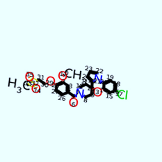 COc1cc(C(=O)N2CCC3(CC2)Oc2cc(Cl)ccc2-n2cccc23)ccc1OCCS(C)(=O)=O